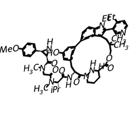 CCc1ccncc1-c1c2c3cc(ccc3n1CC)-c1cc(O)cc(c1)C[C@H](NC(=O)[C@H](C(C)C)N(C)C(=O)CN(C)C(=O)[C@@H]1N[C@@H]1c1ccc(OC)cc1)C(=O)N1CCC[C@H](N1)C(=O)OCC(C)(C)C2